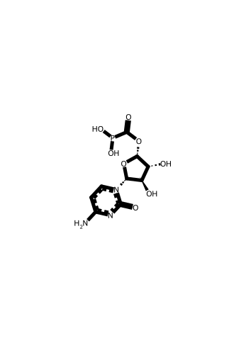 Nc1ccn([C@@H]2O[C@H](OC(=O)P(O)O)[C@H](O)[C@H]2O)c(=O)n1